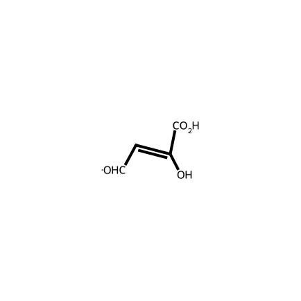 O=[C]C=C(O)C(=O)O